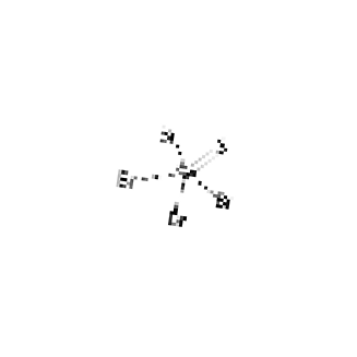 S=[Se](Br)(Br)(Br)Br